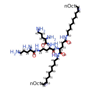 CCCCCCCC/C=C\CCCCCCCCNC(=O)CCC(NC(=O)C(CCCNC(=O)C(N)CCCN)NC(=O)C(N)CCCN)C(=O)NCCCCCCCC/C=C\CCCCCCCC